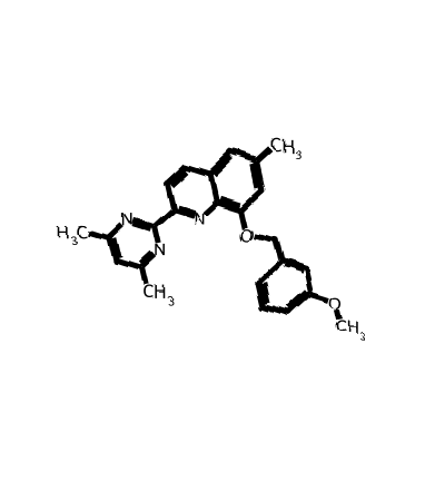 COc1cccc(COc2cc(C)cc3ccc(-c4nc(C)cc(C)n4)nc23)c1